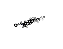 CC(C)C1=C2[C@H]3CC[C@@H]4[C@@]5(C)CC[C@H](OC(=O)CC(C)(C)C(=O)O)C(C)(C)[C@@H]5CC[C@@]4(C)[C@]3(C)CC[C@@]2(/C=C/C(=O)NCC2CCCCC2)CC1=O